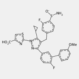 COc1cccc(-c2cc(-c3nn(-c4nc(C(=O)O)cs4)c(C4CC4)c3Cc3ccc([S+](N)[O-])c(F)c3)ccc2F)c1